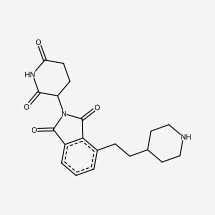 O=C1CCC(N2C(=O)c3cccc(CCC4CCNCC4)c3C2=O)C(=O)N1